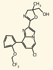 CC1(CO)CN=C(c2cn3cc(Cl)cc(-c4ccccc4OCC(F)(F)F)c3n2)O1